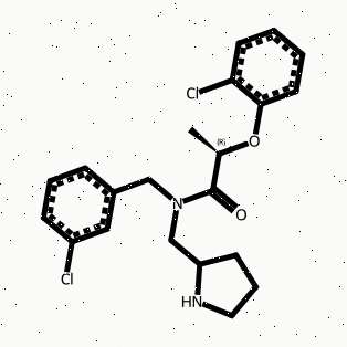 C[C@@H](Oc1ccccc1Cl)C(=O)N(Cc1cccc(Cl)c1)CC1CCCN1